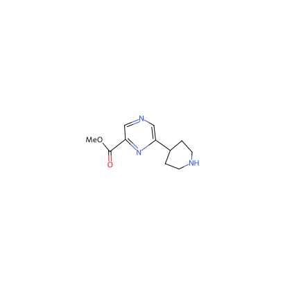 COC(=O)c1cncc(C2CCNCC2)n1